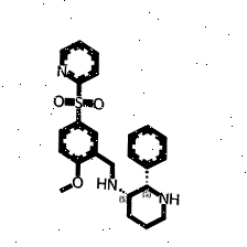 COc1ccc(S(=O)(=O)c2ccccn2)cc1CN[C@H]1CCCN[C@H]1c1ccccc1